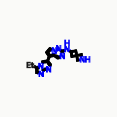 CCc1cnc2ncc(-c3ccn4nc(NC5CC6(CNC6)C5)ncc34)cn12